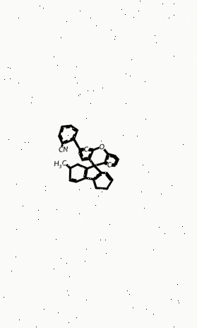 CC1C=CC2=C(C1)C1(C3=C2CCC=C3)c2ccccc2Oc2cc(-c3ccccc3C#N)ccc21